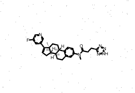 CN(C(=O)CCc1nn[nH]n1)c1ccc2c(c1)CC[C@@H]1[C@@H]2CC[C@]2(C)C(c3cncc(F)c3)=CC[C@@H]12